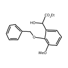 CCOC(=O)C(O)c1cccc(OC)c1OCc1ccccc1